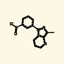 Cc1nn(-c2cccc([N+](=O)[O-])c2)c2cccnc12